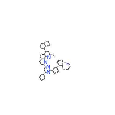 CCc1cc(-c2cccc3ccccc23)c2ccc3ccc(-c4cc(-c5ccccc5)nc(-c5cccc(-c6c#ccc7c6CC=C=C/C=C\7)c5)n4)nc3c2n1